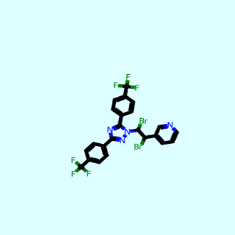 FC(F)(F)c1ccc(-c2nc(-c3ccc(C(F)(F)F)cc3)n(C(Br)C(Br)c3cccnc3)n2)cc1